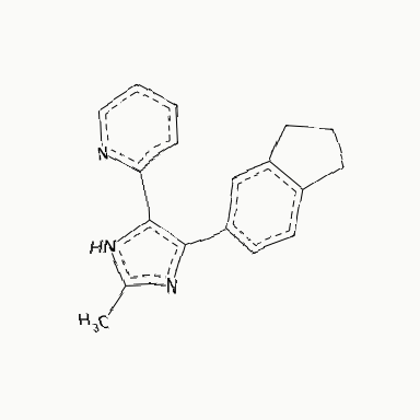 Cc1nc(-c2ccc3c(c2)CCC3)c(-c2ccccn2)[nH]1